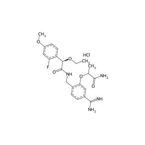 CCO[C@@H](C(=O)NCc1ccc(C(=N)N)cc1OC(C)C(N)=O)c1ccc(OC)cc1F.Cl